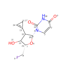 O=c1ccn([C@@H]2O[C@H](CI)C(O)C2C2=CC2)c(=O)[nH]1